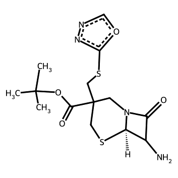 CC(C)(C)OC(=O)C1(CSc2nnco2)CS[C@@H]2C(N)C(=O)N2C1